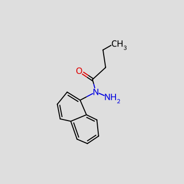 CCCC(=O)N(N)c1cccc2ccccc12